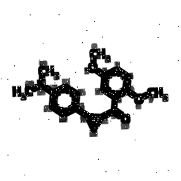 COc1ccc(OC)c(C(=O)C2CC2c2ccc(N(C)C)cc2)c1